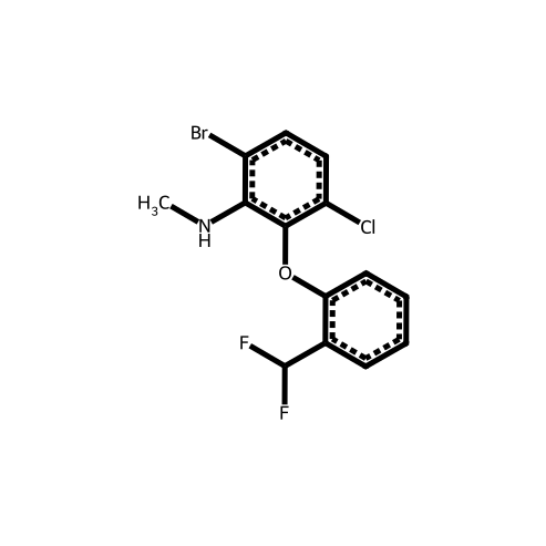 CNc1c(Br)ccc(Cl)c1Oc1ccccc1C(F)F